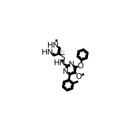 CN/C=C(\C=N)SNc1nc(Oc2ccccc2)c(OC)c(-c2ccccc2C)n1